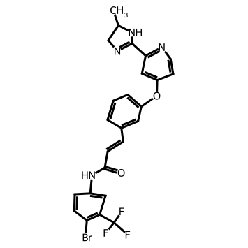 CC1CN=C(c2cc(Oc3cccc(C=CC(=O)Nc4ccc(Br)c(C(F)(F)F)c4)c3)ccn2)N1